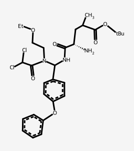 CCOCCN(C(=O)C(Cl)Cl)C(NC(=O)[C@@H](N)CC(C)C(=O)OC(C)(C)C)c1ccc(Oc2ccccc2)cc1